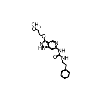 COCCOc1n[nH]c2cc(NC(=O)NCCc3ccccc3)ncc12